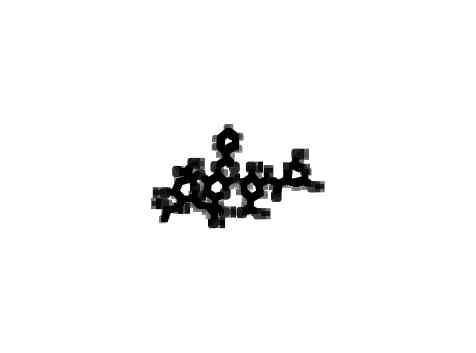 CC(O)NC1C(O)CC(OC2C(O)C(CO)OC(O[C@H]3CC(C(=O)O)CC(NC(=O)c4cc(O)nc(O)n4)C3O)C2OC(=O)c2ccccc2)(C(=O)O)OC1CCCO